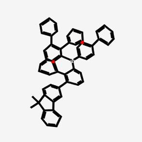 CC1(C)c2ccccc2-c2cc(-c3cccc(N(c4ccc(-c5ccccc5)cc4)c4cccc(-c5ccccc5)c4-c4ccccc4)c3-c3ccccc3)ccc21